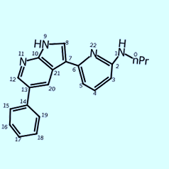 CCCNc1cccc(-c2c[nH]c3ncc(-c4ccccc4)cc23)n1